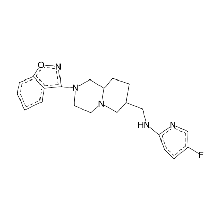 Fc1ccc(NCC2CCC3CN(c4noc5ccccc45)CCN3C2)nc1